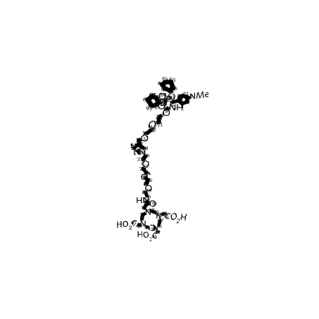 CNc1ccc(C(NC(=O)OCCOCCOCc2cn(CCOCCOCCOCCNC(=O)CN3CCN(CC(=O)O)CCN(CC(=O)O)CCN(CC(=O)O)CC3)nn2)P(=O)(Oc2ccccc2)Oc2ccccc2)cc1